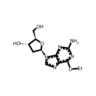 CCOc1nc(N)nc2c1ncn2[C@H]1C[C@H](O)[C@@H](CO)O1